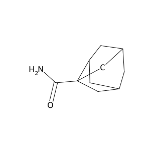 NC(=O)C12CC3CC(CC1C3)C2